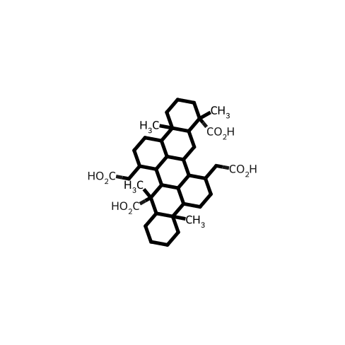 CC1(C(=O)O)CCCC2(C)C3CCC(CC(=O)O)C4C3C(CC12)C1C(CC(=O)O)CCC2C1C4C(C)(C(=O)O)C1CCCCC21C